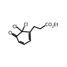 CCOC(=O)CCC1=CC=CC(=O)C1(Cl)Cl